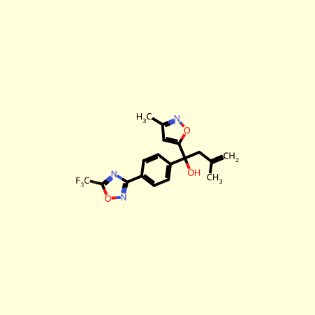 C=C(C)CC(O)(c1ccc(-c2noc(C(F)(F)F)n2)cc1)c1cc(C)no1